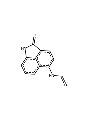 O=CNc1ccc2c3c(cccc13)NC2=O